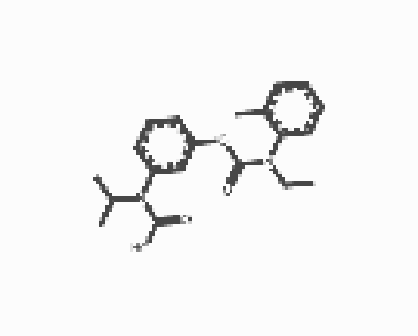 CCN(C(=O)Oc1cccc(N(C(=O)O)C(C)C)c1)c1ccccc1C